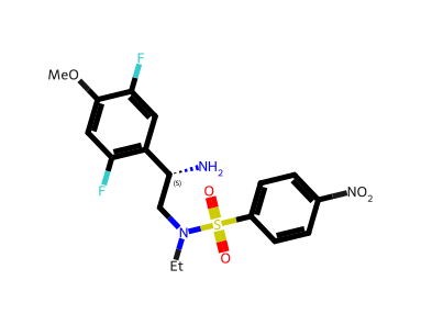 CCN(C[C@@H](N)c1cc(F)c(OC)cc1F)S(=O)(=O)c1ccc([N+](=O)[O-])cc1